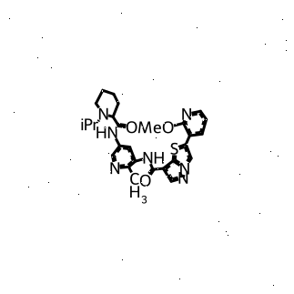 COc1ncccc1-c1cn2ncc(C(=O)Nc3cc(NC(=O)C4CCCCN4C(C)C)cnc3C)c2s1